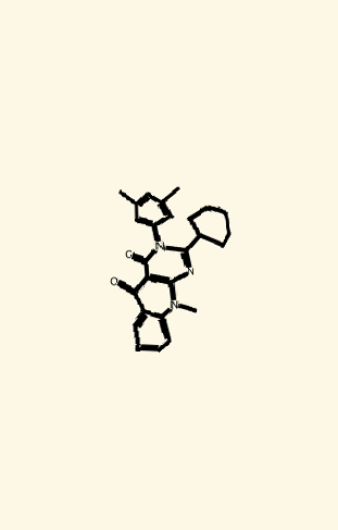 Cc1cc(C)cc(-n2c(C3CCCCC3)nc3c(c(=O)c4ccccc4n3C)c2=O)c1